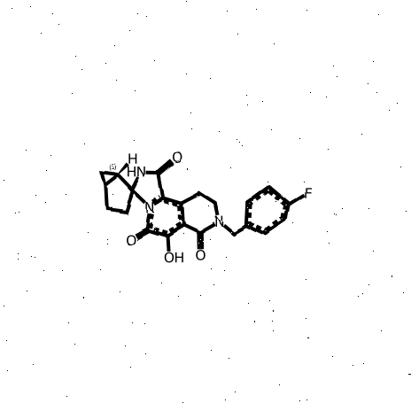 O=C1NC2(CCC3C[C@@H]32)n2c1c1c(c(O)c2=O)C(=O)N(Cc2ccc(F)cc2)CC1